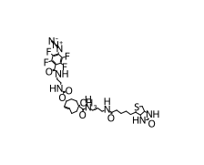 CC1(C(=O)NCCCNC(=O)CCCCC2SCC3NC(=O)NC32)CC/C=C/C(OC(=O)NCCNC(=O)c2c(F)c(F)c(N=[N+]=[N-])c(F)c2F)CC1